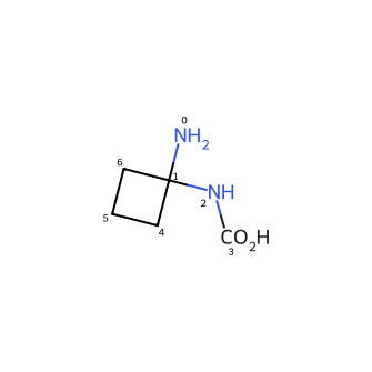 NC1(NC(=O)O)CCC1